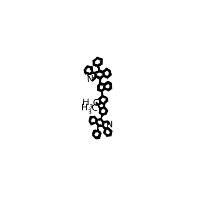 CC1(C)c2cc(-c3ccc(-c4c5ccccc5c(-c5ccccc5)c5c4cnc4ccccc45)c4ccccc34)ccc2-c2ccc(-c3c4ccccc4c(-c4ccccc4)c4c3cnc3ccccc34)cc21